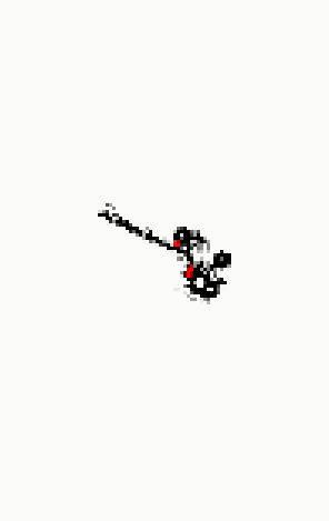 CC(=O)COCCCCCOCCCNCC(=O)O[C@@H](C(=O)O[C@H]1C[C@@]2(O)[C@@H](OC(=O)c3ccccc3)C3C(C)(C(=O)[C@H](O)C(=C1C)C2(C)C)[C@@H](O)CC1OC[C@]13C)[C@@H](NC(C)=O)c1ccccc1